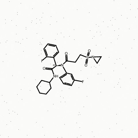 O=C(NC1CCCCC1)[C@@H](c1ccccc1I)N(C(=O)CCS(=O)(=O)N1CC1)c1cccc(F)c1